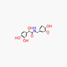 COc1cc(CNC(=O)C(O)c2ccc(O)c(O)c2)ccc1O